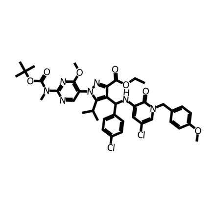 CCOC(=O)c1nn(-c2cnc(N(C)C(=O)OC(C)(C)C)nc2OC)c(C(C)C)c1C(Nc1cc(Cl)cn(Cc2ccc(OC)cc2)c1=O)c1ccc(Cl)cc1